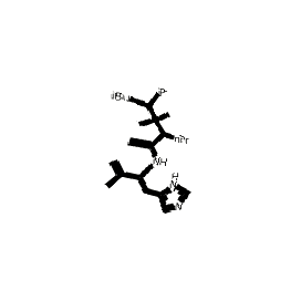 C=C(C)C(Cc1cnc[nH]1)NC(=C)C(CCC)C(C)(C)C(C(C)C)C(C)CC